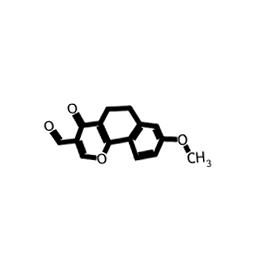 COc1ccc2c(c1)CCc1c-2occ(C=O)c1=O